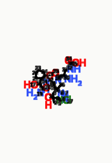 CC(C)(O)c1cnnn1[C@H]1C[C@@H](C(=O)NC2(C(O)C(N)=O)CCCCC2)N(C(=O)C(N)CNC(=O)O)C1.Cl